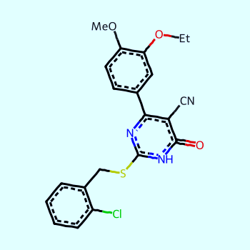 CCOc1cc(-c2nc(SCc3ccccc3Cl)[nH]c(=O)c2C#N)ccc1OC